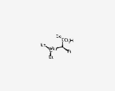 CCCCC(CC)C(=O)O.CCOCC.[Ce]